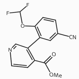 COC(=O)c1ccncc1-c1cc(C#N)ccc1OC(F)F